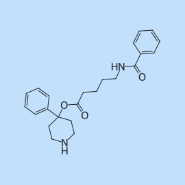 O=C(CCCCNC(=O)c1ccccc1)OC1(c2ccccc2)CCNCC1